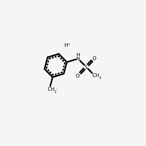 [CH2]c1cccc(NS(C)(=O)=O)c1.[H+]